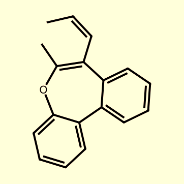 C/C=C\C1=C(C)Oc2ccccc2-c2ccccc21